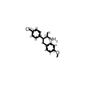 COc1ccc(CC(c2ccc(Cl)cc2)C(C)N)cc1